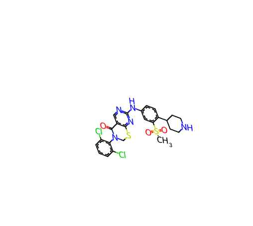 CS(=O)(=O)c1cc(Nc2ncc3c(n2)SCN(c2c(Cl)cccc2Cl)C3=O)ccc1C1CCNCC1